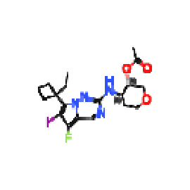 CCC1(c2c(I)c(F)c3cnc(N[C@@H]4CCOC[C@H]4OC(C)=O)nn23)CCC1